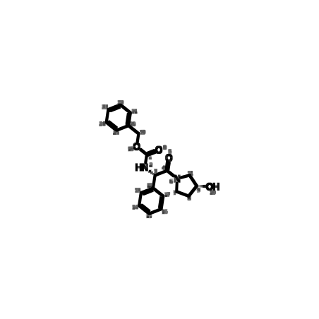 O=C(N[C@H](C(=O)N1CC[C@@H](O)C1)c1ccccc1)OCc1ccccc1